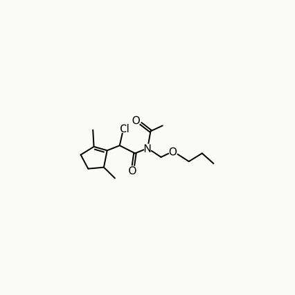 CCCOCN(C(C)=O)C(=O)C(Cl)C1=C(C)CCC1C